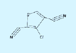 N#Cc1csc(C#N)c1Cl